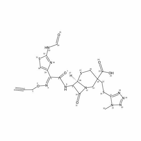 C#CCON=C(C(=O)NC1C(=O)N2CC(CSc3nnnn3C)(C(=O)O)CS[C@H]12)c1csc(NC=O)n1